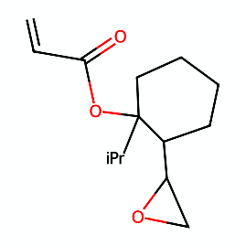 C=CC(=O)OC1(C(C)C)CCCCC1C1CO1